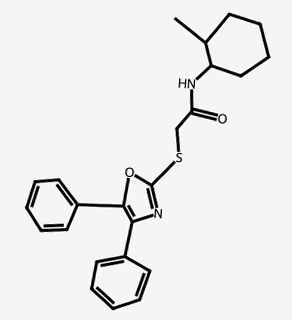 CC1CCCCC1NC(=O)CSc1nc(-c2ccccc2)c(-c2ccccc2)o1